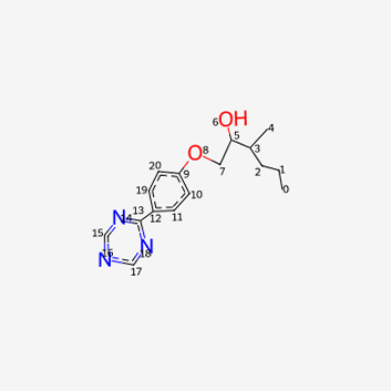 CCCC(C)C(O)COc1ccc(-c2ncncn2)cc1